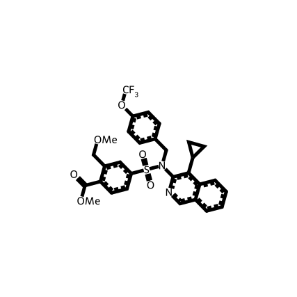 COCc1cc(S(=O)(=O)N(Cc2ccc(OC(F)(F)F)cc2)c2ncc3ccccc3c2C2CC2)ccc1C(=O)OC